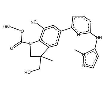 Cn1nccc1Nc1nccc(-c2cc(C#N)c3c(c2)C(C)(CO)CN3C(=O)OC(C)(C)C)n1